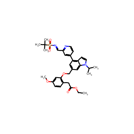 CCOC(=O)Cc1ccc(OC)cc1OCc1cc(-c2ccnc(C=NS(=O)(=O)C(C)(C)C)c2)c2ccn(C(C)C)c2c1